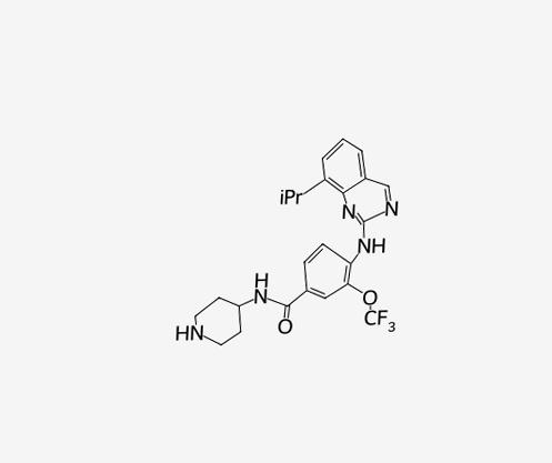 CC(C)c1cccc2cnc(Nc3ccc(C(=O)NC4CCNCC4)cc3OC(F)(F)F)nc12